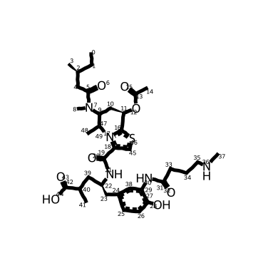 CC[C@H](C)CC(=O)N(C)C(C[C@@H](OC(C)=O)c1nc(C(=O)N[C@@H](Cc2ccc(O)c(NC(=O)CCCNC)c2)CC(C)C(=O)O)cs1)C(C)C